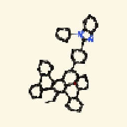 C/C=c1/c(-c2ccccc2-c2ccccc2)c2ccc(-c3ccc(-c4nc5ccccc5n4-c4ccccc4)cc3)cc2c(-c2ccccc2-c2ccccc2)/c1=C/C